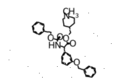 CN1CCC(COC(=O)C(NC(=O)OCc2ccccc2)c2cccc(OCc3ccccc3)c2)CC1